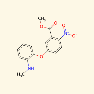 CNc1ccccc1Oc1ccc([N+](=O)[O-])c(C(=O)OC)c1